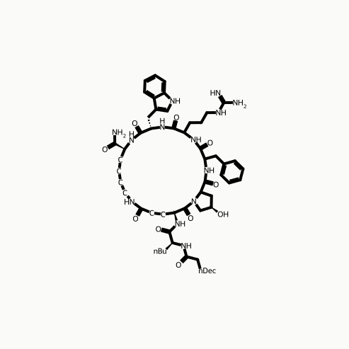 CCCCCCCCCCCC(=O)N[C@@H](CCCC)C(=O)N[C@H]1CCC(=O)NCCCC[C@@H](C(N)=O)NC(=O)[C@H](Cc2c[nH]c3ccccc23)NC(=O)C(CCCNC(=N)N)NC(=O)C(Cc2ccccc2)NC(=O)C2C[C@@H](O)CN2C1=O